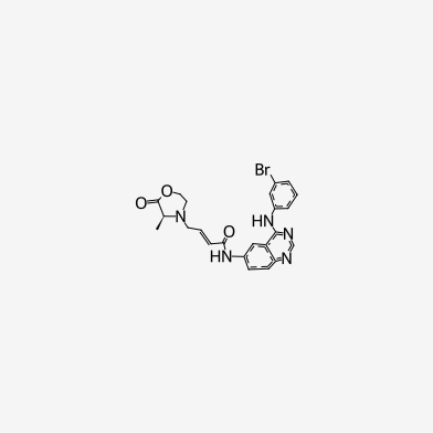 C[C@H]1C(=O)OCCN1C/C=C/C(=O)Nc1ccc2ncnc(Nc3cccc(Br)c3)c2c1